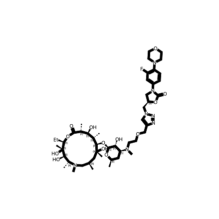 CC[C@H]1OC(=O)[C@H](C)[C@@H](O)[C@H](C)[C@@H](O[C@@H]2O[C@H](C)C[C@H](N(C)CCOCc3cn(C[C@H]4CN(c5ccc(N6CCOCC6)c(F)c5)C(=O)O4)nn3)[C@H]2O)[C@](C)(O)C[C@@H](C)CN(C)[C@H](C)[C@@H](O)[C@]1(C)O